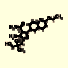 CCOc1ccc2cc(-c3nn(CC(C)(C)CO)c(N)c3C(N)=O)ccc2n1